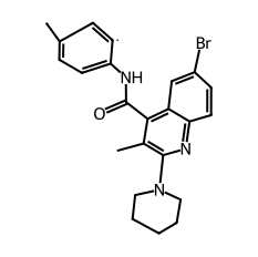 Cc1c[c]c(NC(=O)c2c(C)c(N3CCCCC3)nc3ccc(Br)cc23)cc1